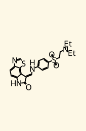 CCN(CC)CCS(=O)(=O)c1ccc(N/C=C2/C(=O)Nc3ccc4ncsc4c32)cc1